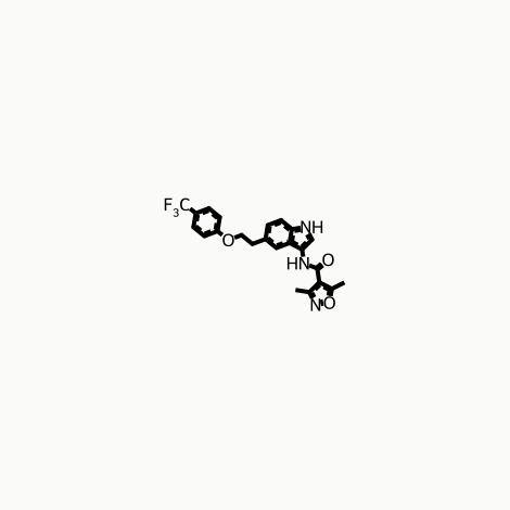 Cc1noc(C)c1C(=O)Nc1c[nH]c2ccc(CCOc3ccc(C(F)(F)F)cc3)cc12